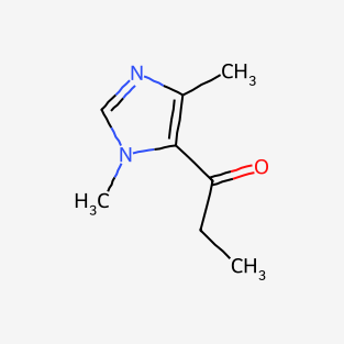 CCC(=O)c1c(C)ncn1C